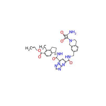 C=CCOC(=O)c1ccc2c(c1C)CC[C@@H]2NC(=O)c1cc(C(=O)NCc2ccc3c(c2)CN(c2c(N)c(=O)c2=O)CC3)nc2ncnn12